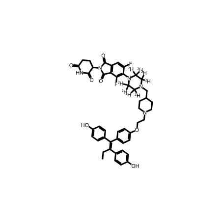 [2H]C1([2H])N(CC2CCN(CCOc3ccc(C(=C(CC)c4ccc(O)cc4)c4ccc(O)cc4)cc3)CC2)C([2H])([2H])C([2H])([2H])N(c2c(F)cc3c(c2F)C(=O)N(C2CCC(=O)NC2=O)C3=O)C1([2H])[2H]